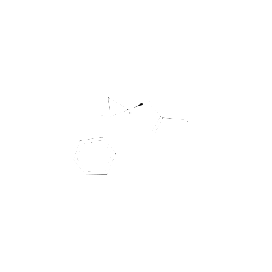 NC(=O)O[C@@H]1C[C@H]1c1ccccc1